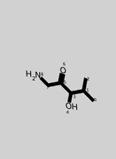 CC(C)C(O)C(=O)CN